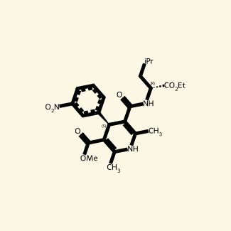 CCOC(=O)[C@@H](CC(C)C)NC(=O)C1=C(C)NC(C)=C(C(=O)OC)[C@H]1c1cccc([N+](=O)[O-])c1